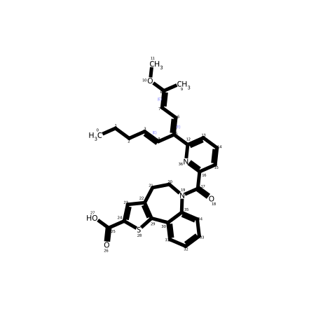 CCC/C=C/C(=C\C=C(/C)OC)c1cccc(C(=O)N2CCc3cc(C(=O)O)sc3-c3ccccc32)n1